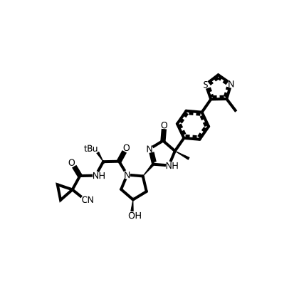 Cc1ncsc1-c1ccc([C@]2(C)NC([C@H]3C[C@@H](O)CN3C(=O)[C@@H](NC(=O)C3(C#N)CC3)C(C)(C)C)=NC2=O)cc1